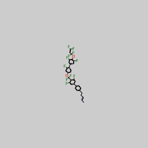 C/C=C/CCc1ccc(-c2cc(F)c(C(F)(F)Oc3ccc(-c4cc(F)c(OC(F)(F)C=C(F)F)c(F)c4)c(F)c3)c(F)c2)cc1